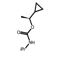 CC(C)NC(=O)O[C@@H](C)C1CC1